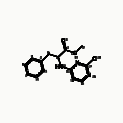 COC(=O)C(Cc1ccccc1)Nc1ccnc(Cl)n1